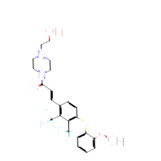 COc1ccccc1Sc1ccc(C=CC(=O)N2CCN(CCO)CC2)c(C(F)(F)F)c1C(F)(F)F